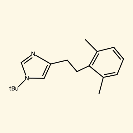 Cc1cccc(C)c1CCc1cn(C(C)(C)C)cn1